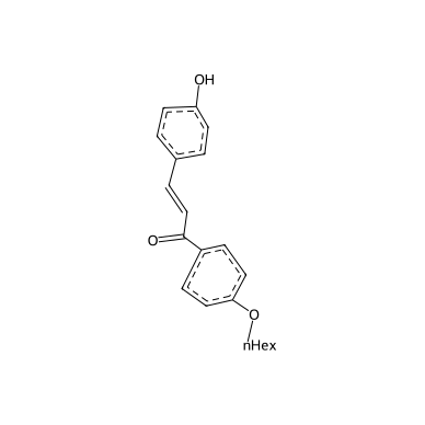 CCCCCCOc1ccc(C(=O)C=Cc2ccc(O)cc2)cc1